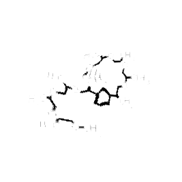 C=C(COC(C)COC(C)COC(C)COC)c1cccc(C(=C)COC(C)COC(C)COC(C)COC)c1